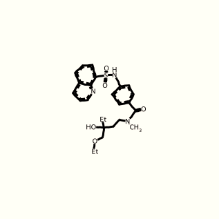 CCOCC(O)(CC)CCN(C)C(=O)c1ccc(NS(=O)(=O)c2cccc3cccnc23)cc1